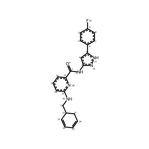 O=C(Nc1cc(-c2ccc(F)cc2)[nH]n1)c1cccc(NCC2C=CC=CC2)n1